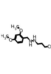 CCCCNNCc1ccc(OC)cc1OC